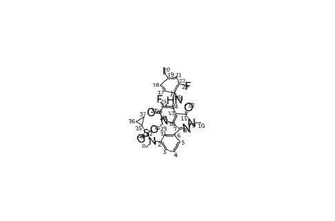 CN(c1cccc(-c2nn(C)c(=O)c3c(Nc4ccc(I)cc4F)c(F)c(=O)n(C)c23)c1)S(=O)(=O)C1CC1